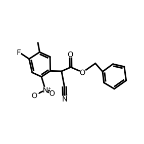 Cc1cc(C(C#N)C(=O)OCc2ccccc2)c([N+](=O)[O-])cc1F